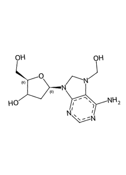 Nc1ncnc2c1N(CO)CN2[C@H]1CC(O)[C@@H](CO)O1